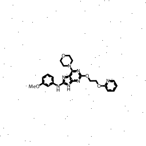 COc1cccc(Nc2nc3c(N4CCOCC4)nc(OCCOc4ccccn4)nc3[nH]2)c1